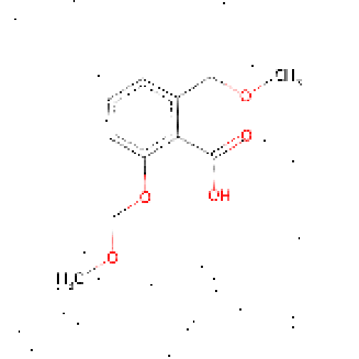 COCOc1cccc(COC)c1C(=O)O